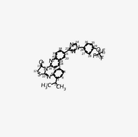 CC(C)c1ccccc1/N=C1/SCC(=O)N1c1ccc2cc(-c3ncn(-c4ccc(OC(F)(F)F)cc4)n3)ccc2n1